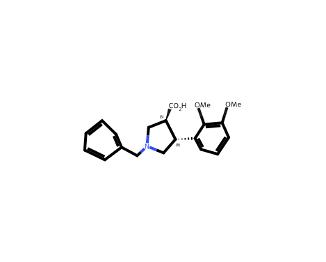 COc1cccc([C@@H]2CN(Cc3ccccc3)C[C@H]2C(=O)O)c1OC